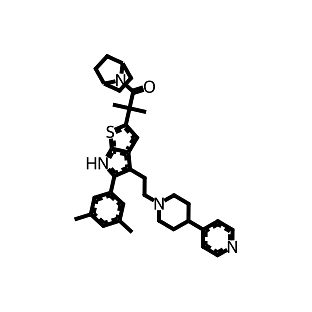 Cc1cc(C)cc(-c2[nH]c3sc(C(C)(C)C(=O)N4C5CCC4CC5)cc3c2CCN2CCC(c3ccncc3)CC2)c1